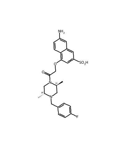 C[C@@H]1CN(C(=O)COc2cc(S(=O)(=O)O)cc3cc(N)ccc23)[C@@H](C)CN1Cc1ccc(F)cc1